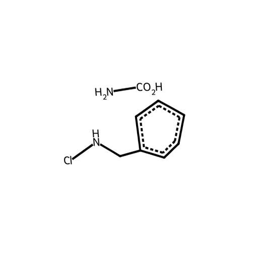 ClNCc1ccccc1.NC(=O)O